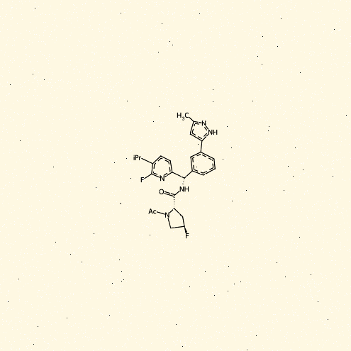 CC(=O)N1C[C@H](F)C[C@H]1C(=O)N[C@@H](c1cccc(-c2cc(C)n[nH]2)c1)c1ccc(C(C)C)c(F)n1